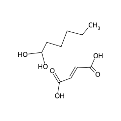 CCCCCC(O)O.O=C(O)C=CC(=O)O